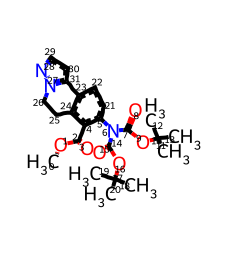 COC(=O)c1c(N(C(=O)OC(C)(C)C)C(=O)OC(C)(C)C)ccc2c1CCn1nccc1-2